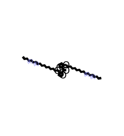 C=CC/C=C/C/C=C/CCCCCCCCOc1ccoc1C(=O)c1occc1OCCCCCCCC/C=C/C/C=C/CC=C